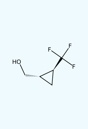 OC[C@H]1C[C@@H]1C(F)(F)F